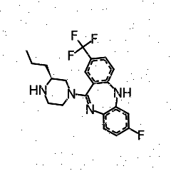 CCC[C@H]1CN(C2=Nc3ccc(F)cc3Nc3ccc(C(F)(F)F)cc32)CCN1